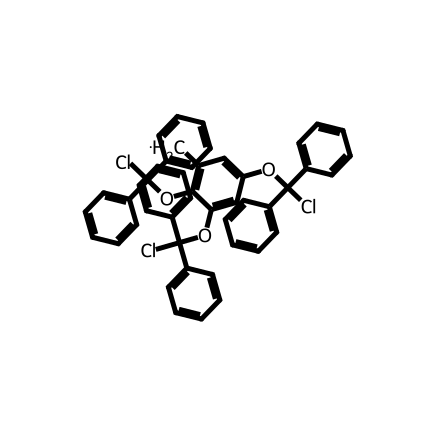 [CH2]c1cc(OC(Cl)(c2ccccc2)c2ccccc2)cc(OC(Cl)(c2ccccc2)c2ccccc2)c1OC(Cl)(c1ccccc1)c1ccccc1